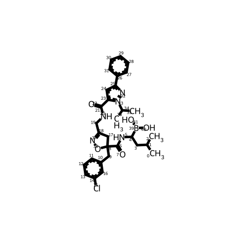 CC(C)CC(NC(=O)C1(Cc2cccc(Cl)c2)CC(CNC(=O)c2cc(-c3ccccc3)nn2C(C)C)=NO1)B(O)O